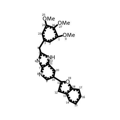 COc1cc(Cc2nc3ncc(-c4cc5ccccc5o4)cc3[nH]2)cc(OC)c1OC